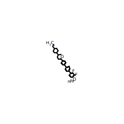 C/C=C/C1CCC(C2CCC(c3ccc(-c4ccc(-c5ccc(OCCC)c(F)c5F)cc4)cc3)OC2)CC1